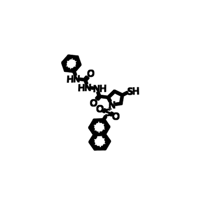 O=C(NNC(=O)C1CC(S)CN1S(=O)(=O)c1ccc2ccccc2c1)Nc1ccccc1